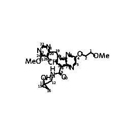 COCCOc1cnc2c(C(=O)NCC3(O)CC3)cn(Cc3ncnc(OC)c3C)c2n1